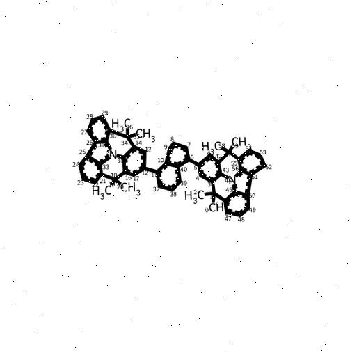 CC1(C)c2cc(-c3cccc4c(-c5cc6c7c(c5)C(C)(C)c5cccc8c9cccc(c9n-7c58)C6(C)C)cccc34)cc3c2-n2c4c1cccc4c1cccc(c12)C3(C)C